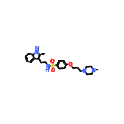 Cc1[nH]c2ccccc2c1CCNS(=O)(=O)c1ccc(OCCCN2CCN(C)CC2)cc1